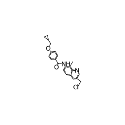 Cc1c(NC(=O)c2ccc(OCC3CC3)cc2)ccc2cc(CCl)cnc12